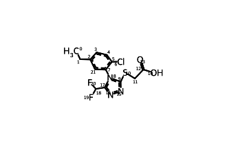 CCc1ccc(Cl)c(-n2c(SCC(=O)O)nnc2C(F)F)c1